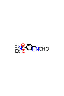 CCN(CC)S(=O)(=O)c1ccc(CNC=O)cc1